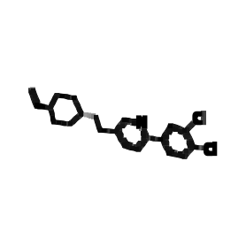 C=C[C@H]1CC[C@H](CCc2ccc(-c3ccc(Cl)c(Cl)c3)nc2)CC1